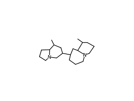 CC1CCCN2CCCC(C3CC(C)C4CCCN4C3)CC12